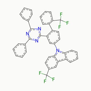 FC(F)(F)c1ccc2c(c1)c1ccccc1n2-c1ccc(-c2ccccc2C(F)(F)F)c(-c2nc(-c3ccccc3)nc(-c3ccccc3)n2)c1